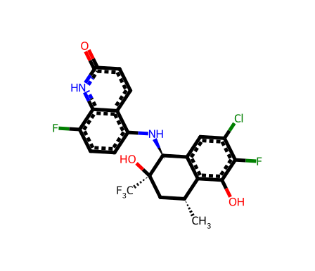 C[C@@H]1C[C@](O)(C(F)(F)F)[C@@H](Nc2ccc(F)c3[nH]c(=O)ccc23)c2cc(Cl)c(F)c(O)c21